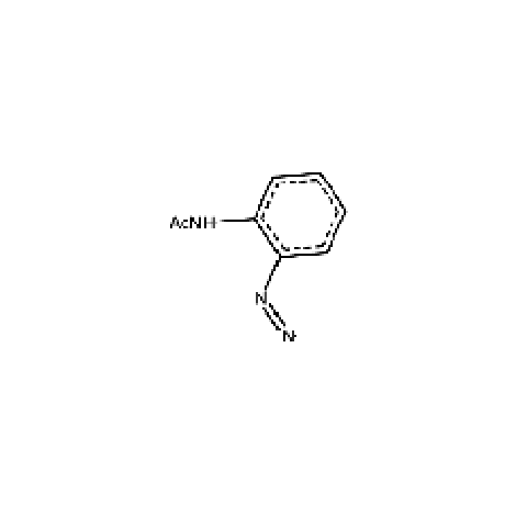 CC(=O)Nc1ccccc1N=[N]